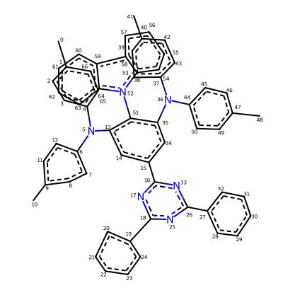 Cc1ccc(N(c2ccc(C)cc2)c2cc(-c3nc(-c4ccccc4)nc(-c4ccccc4)n3)cc(N(c3ccc(C)cc3)c3ccc(C)cc3)c2-n2c3ccccc3c3ccccc32)cc1